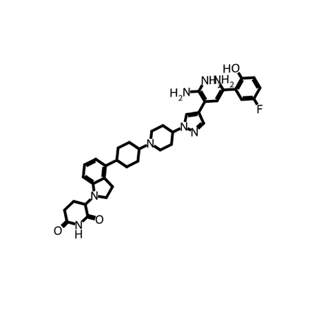 NC(N)=C(/C=C(\N)c1cc(F)ccc1O)c1cnn(C2CCN(C3CCC(c4cccc5c4CCN5C4CCC(=O)NC4=O)CC3)CC2)c1